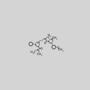 CCN(CCCN1CC(c2ccccc2)=C[C@H](C(=O)N(CC)CC)C1)C(=O)[C@@H]1C=C(c2cccc(OC)c2)CN(C)C1